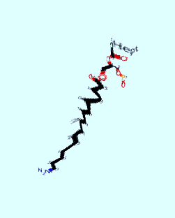 CCCCCCCC(=O)O[C@H](COP=O)COC(=O)CCCCCCCCCCCCCCCN